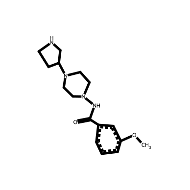 COc1cccc(C(=O)NN2CCN(C3CCNC3)CC2)c1